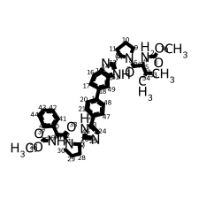 COC(=O)N[C@H](C(=O)N1CCC[C@H]1c1nc2ccc(-c3ccc(-c4cnc([C@@H]5CCCN5C(=O)[C@H](NC(=O)OC)c5ccccc5)[nH]4)cc3)cc2[nH]1)C(C)C